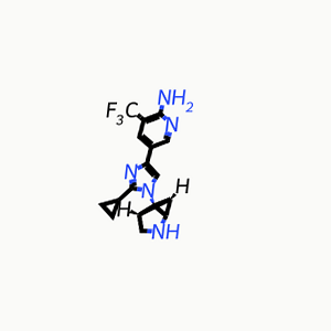 Nc1ncc(-c2cn([C@@]34C5NC[C@H]3[C@@H]54)c(C3CC3)n2)cc1C(F)(F)F